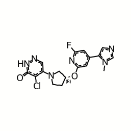 Cn1cncc1-c1cc(F)nc(O[C@@H]2CCN(c3cn[nH]c(=O)c3Cl)C2)c1